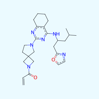 C=CC(=O)N1CC2(CCN(c3nc4c(c(NC(Cc5ncco5)CC(C)C)n3)CCCC4)C2)C1